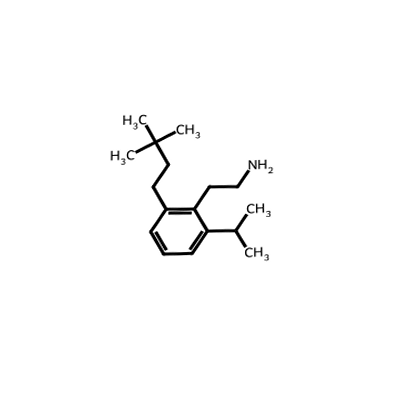 CC(C)c1cccc(CCC(C)(C)C)c1CCN